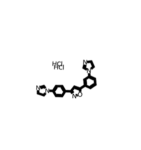 C1=NCCN1c1ccc(-c2cc(-c3cccc(N4C=NCC4)c3)on2)cc1.Cl.Cl